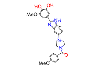 COc1ccc(C(=O)N2CCN(c3ccc4[nH]c(-c5cc(O)c(O)c(OC)c5)nc4c3)CC2)cc1